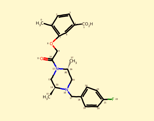 Cc1ccc(C(=O)O)cc1OCC(=O)N1C[C@H](C)N(Cc2ccc(F)cc2)C[C@H]1C